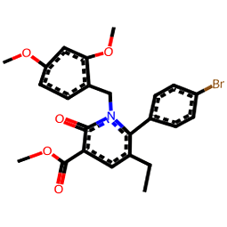 CCc1cc(C(=O)OC)c(=O)n(Cc2ccc(OC)cc2OC)c1-c1ccc(Br)cc1